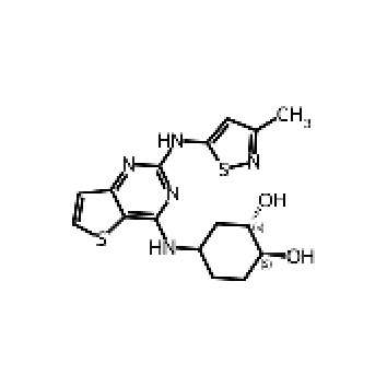 Cc1cc(Nc2nc(NC3CC[C@H](O)[C@@H](O)C3)c3sccc3n2)sn1